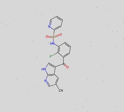 N#Cc1cnc2[nH]cc(C(=O)c3cccc(NS(=O)(=O)c4ccccn4)c3F)c2c1